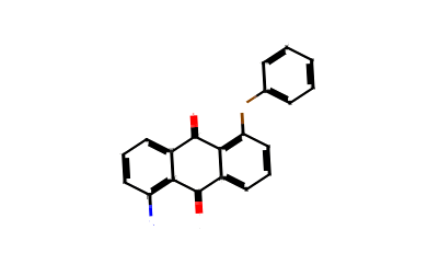 Nc1cccc2c1C(=O)c1cccc(Sc3ccccc3)c1C2=O